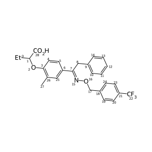 CCC(Oc1ccc(/C(Cc2ccccc2)=N/OCc2ccc(C(F)(F)F)cc2)cc1C)C(=O)O